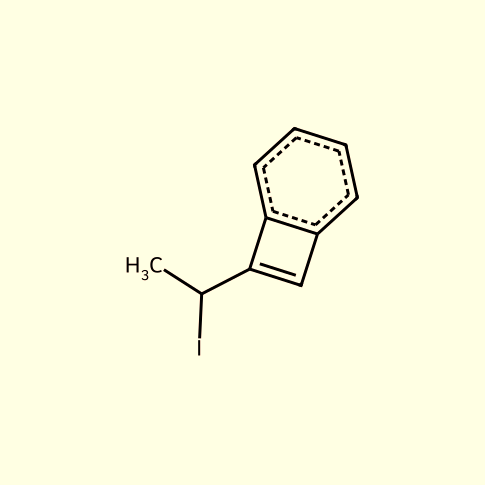 CC(I)C1=Cc2ccccc21